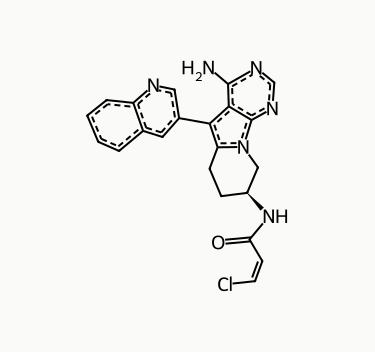 Nc1ncnc2c1c(-c1cnc3ccccc3c1)c1n2C[C@@H](NC(=O)/C=C\Cl)CC1